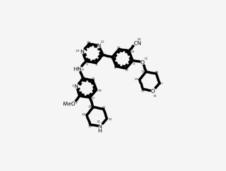 COc1nc(Nc2cc(-c3ccc(OC4CCOCC4)c(C#N)c3)ncn2)ccc1C1CCNCC1